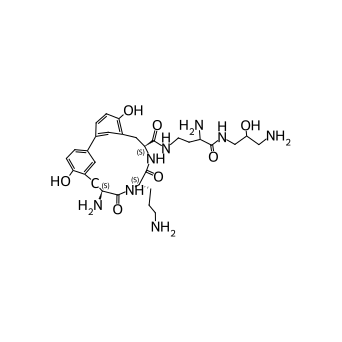 NCCC[C@@H]1NC(=O)[C@@H](N)Cc2cc(ccc2O)-c2ccc(O)c(c2)C[C@@H](C(=O)NCCC(N)C(=O)NCC(O)CN)NC1=O